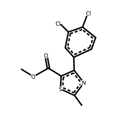 COC(=O)c1sc(C)nc1-c1ccc(Cl)c(Cl)c1